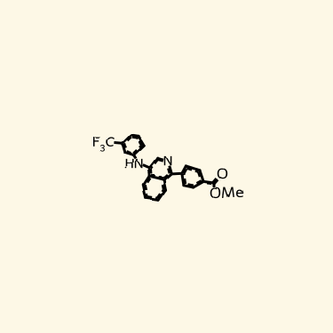 COC(=O)c1ccc(-c2ncc(Nc3cccc(C(F)(F)F)c3)c3ccccc23)cc1